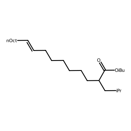 CCCCCCCCC=CCCCCCCC(CC(C)C)C(=O)OCC(C)C